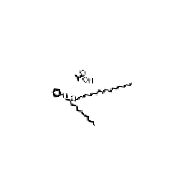 C=C(C)C(=O)O.CCCCCCCCCCCCCCCCCCOC(CCCCCCCCC)COc1ccccc1